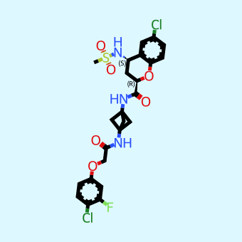 CS(=O)(=O)N[C@H]1C[C@H](C(=O)NC23CC(NC(=O)COc4ccc(Cl)c(F)c4)(C2)C3)Oc2ccc(Cl)cc21